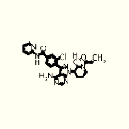 C=CC(=O)N1CCCC(n2nc(-c3ccc(C(=O)Nc4ccccn4)cc3Cl)c3c(N)ncnc32)[C@H]1C